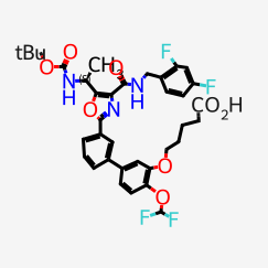 C[C@H](NC(=O)OC(C)(C)C)c1oc(-c2cccc(-c3ccc(OC(F)F)c(OCCCCC(=O)O)c3)c2)nc1C(=O)NCc1ccc(F)cc1F